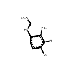 CCc1ccc(NCOC)c(OC(C)=O)c1Cl